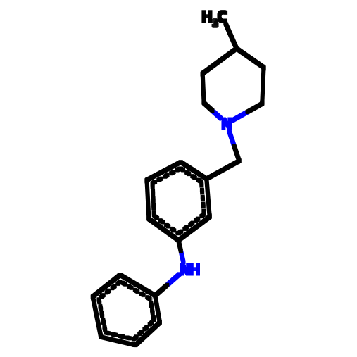 CC1CCN(Cc2cccc(Nc3ccccc3)c2)CC1